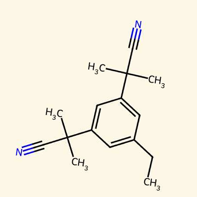 CCc1cc(C(C)(C)C#N)cc(C(C)(C)C#N)c1